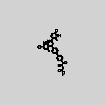 COC(=O)CNC(=O)c1ccc(-c2ccc(C(C/C(=N\O)c3ccc(=O)[nH]c3C)c3ccc(Cl)cc3C)cc2)cc1